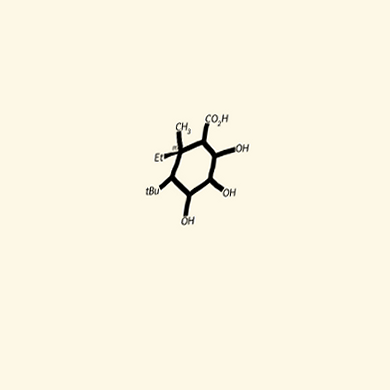 CC[C@@]1(C)C(C(=O)O)C(O)C(O)C(O)C1C(C)(C)C